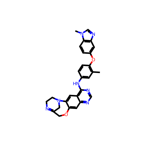 Cc1cc(Nc2ncnc3cc4c(cc23)N2CCN=C(CO4)C2)ccc1Oc1ccc2c(c1)ncn2C